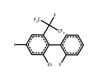 CCc1[c]c(I)cc(C(F)(C(F)(F)F)C(F)(F)F)c1-c1ccccc1F